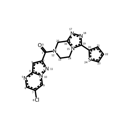 O=C(c1cc2ncc(Cl)cn2n1)N1CCn2c(nnc2-c2cccs2)C1